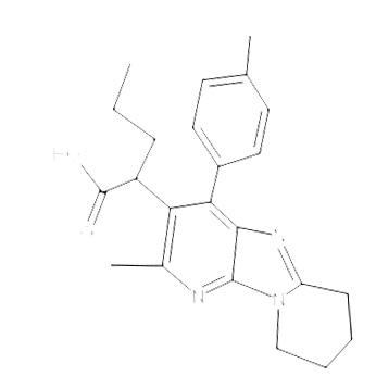 CCCC(C(=O)O)c1c(C)nc2c(nc3n2CCCC3)c1-c1ccc(C)cc1